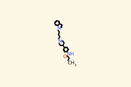 CCCC(=O)Nc1ccc(C2CCN(CCCCCn3ccc4ccccc43)CC2)cc1